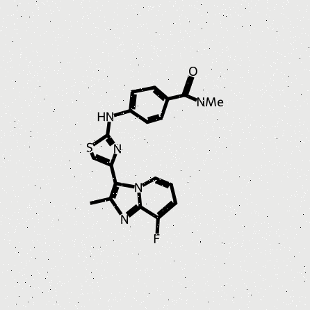 CNC(=O)c1ccc(Nc2nc(-c3c(C)nc4c(F)cccn34)cs2)cc1